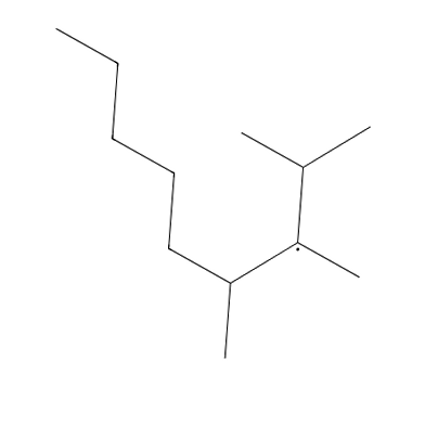 CCCCCC(C)[C](C)C(C)C